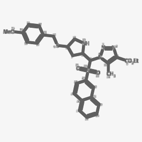 CCOC(=O)c1nnn(C(C2CC(SCc3ccc(OC)cc3)CN2)S(=O)(=O)c2ccc3ccccc3c2)c1C